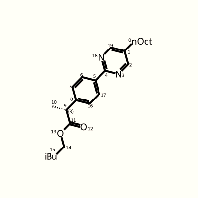 CCCCCCCCc1cnc(-c2ccc([C@@H](C)C(=O)OCC(C)CC)cc2)nc1